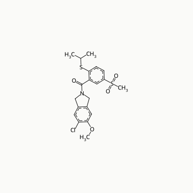 COc1cc2c(cc1Cl)CN(C(=O)c1cc(S(C)(=O)=O)ccc1SC(C)C)C2